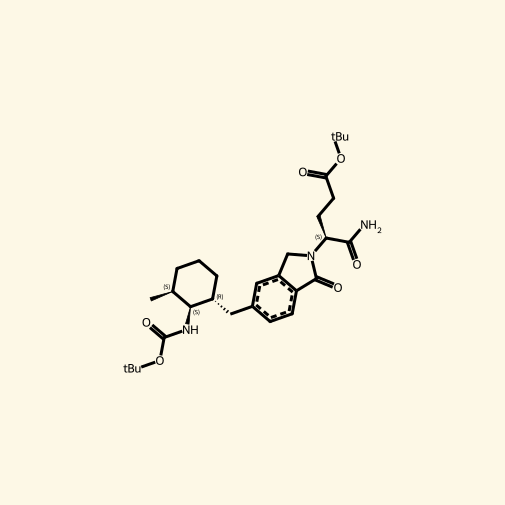 C[C@H]1CCC[C@H](Cc2ccc3c(c2)CN([C@@H](CCC(=O)OC(C)(C)C)C(N)=O)C3=O)[C@H]1NC(=O)OC(C)(C)C